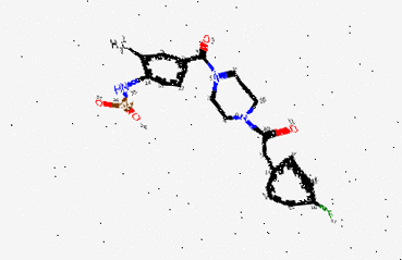 Cc1cc(C(=O)N2CCN(C(=O)Cc3ccc(F)cc3)CC2)ccc1N[SH](=O)=O